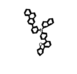 c1cc(-c2ccc3c(ccc4ccccc43)c2)cc(N(c2ccc(-c3cccc4c3oc3ccccc34)cc2)c2ccc3ccccc3c2)c1